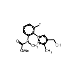 COC(=O)N(C)c1cccc(F)c1-n1cc(CO)c(C)n1